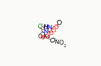 CC(=O)OCC1=C(C(=O)OCc2ccc([N+](=O)[O-])cc2)N2C(=O)C(NC(=O)COc3ccccc3)[C@H]2S/C1=C\Cl